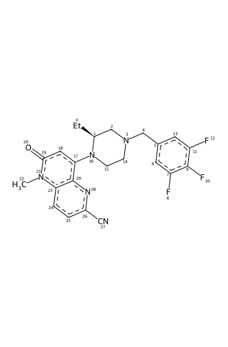 CC[C@H]1CN(Cc2cc(F)c(F)c(F)c2)CCN1c1cc(=O)n(C)c2ccc(C#N)nc12